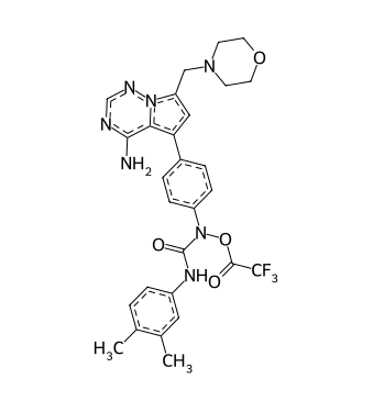 Cc1ccc(NC(=O)N(OC(=O)C(F)(F)F)c2ccc(-c3cc(CN4CCOCC4)n4ncnc(N)c34)cc2)cc1C